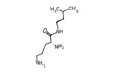 CC(C)CCNC(=O)[C@H](N)CCCN